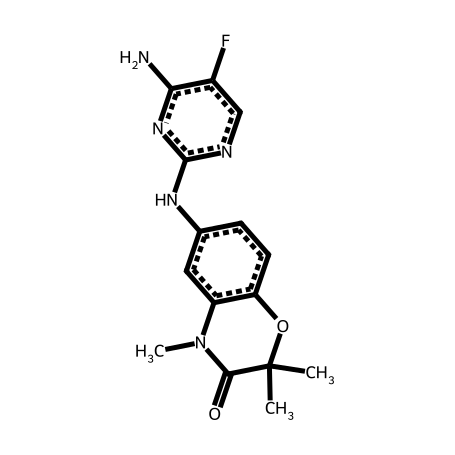 CN1C(=O)C(C)(C)Oc2ccc(Nc3ncc(F)c(N)n3)cc21